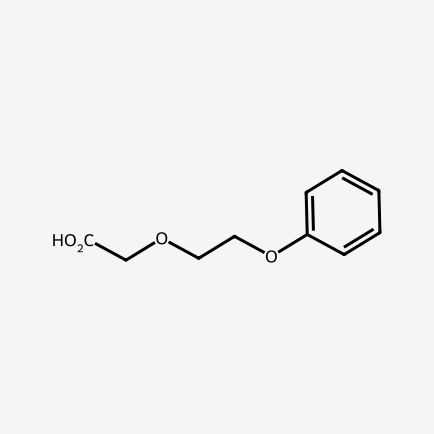 O=C(O)COCCOc1ccccc1